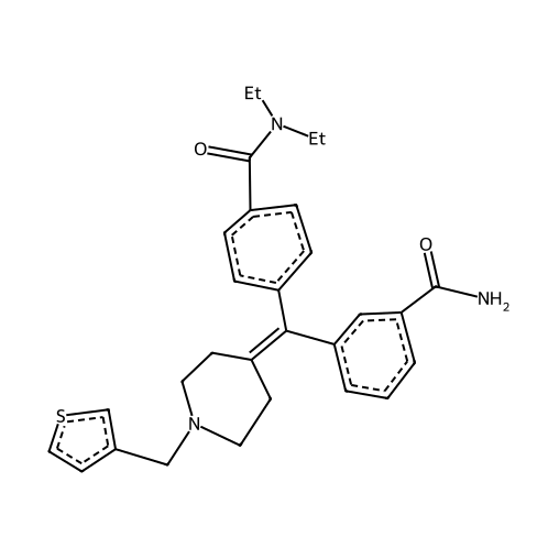 CCN(CC)C(=O)c1ccc(C(=C2CCN(Cc3ccsc3)CC2)c2cccc(C(N)=O)c2)cc1